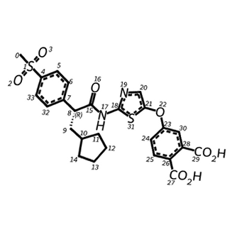 CS(=O)(=O)c1ccc([C@@H](CC2CCCC2)C(=O)Nc2ncc(Oc3ccc(C(=O)O)c(C(=O)O)c3)s2)cc1